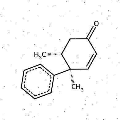 C[C@@H]1CC(=O)C=C[C@@]1(C)c1ccccc1